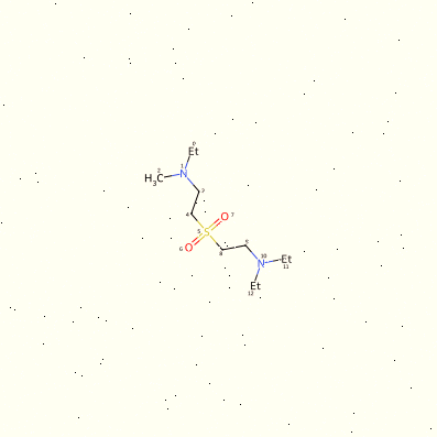 CCN(C)CCS(=O)(=O)CCN(CC)CC